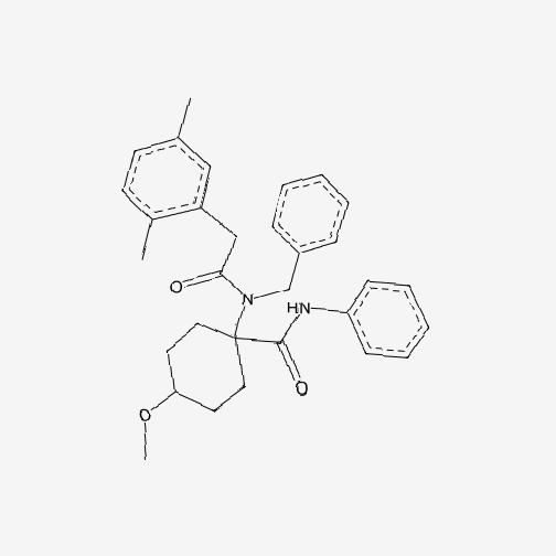 COC1CCC(C(=O)Nc2ccccc2)(N(Cc2ccccc2)C(=O)Cc2cc(C)ccc2C)CC1